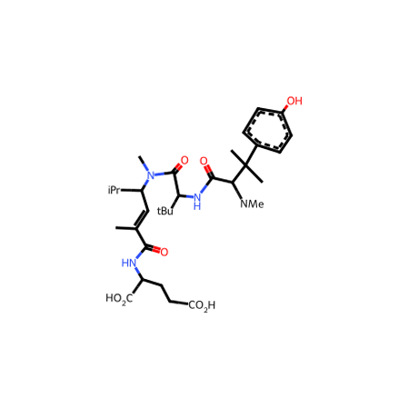 CNC(C(=O)NC(C(=O)N(C)C(/C=C(\C)C(=O)NC(CCC(=O)O)C(=O)O)C(C)C)C(C)(C)C)C(C)(C)c1ccc(O)cc1